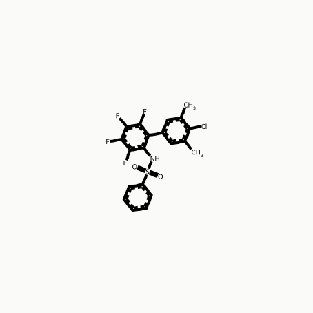 Cc1cc(-c2c(F)c(F)c(F)c(F)c2NS(=O)(=O)c2ccccc2)cc(C)c1Cl